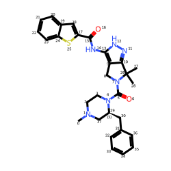 CN1CCN(C(=O)N2Cc3c(n[nH]c3NC(=O)c3cc4ccccc4s3)C2(C)C)[C@@H](Cc2ccccc2)C1